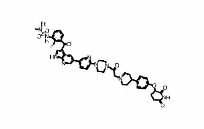 CCN(C)S(=O)(=O)Nc1cccc(C(=O)c2c[nH]c3ncc(-c4ccc(N5CCN(C(=O)CN6CCC(c7ccc(OC8CCC(=O)NC8=O)cc7)CC6)CC5)nc4)cc23)c1F